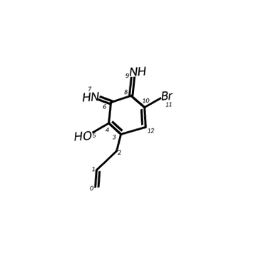 C=CCC1=C(O)C(=N)C(=N)C(Br)=C1